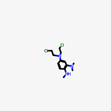 CNc1ccc(N(CCCl)CCCl)cc1N(C)C